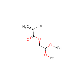 C=C(C#N)C(=O)OCC(OCC)OCCCC